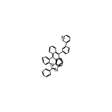 c1ccc(-c2nc3ccccc3n2-c2ccccc2-c2c3ccccc3c(-c3cccc(-c4cccnc4)c3)c3ccccc23)cc1